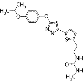 CNC(=O)NCCc1ccc(-c2nnc(Oc3ccc(OC(C)C)cc3)s2)s1